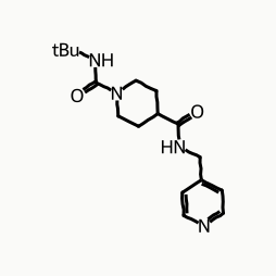 CC(C)(C)NC(=O)N1CCC(C(=O)NCc2ccncc2)CC1